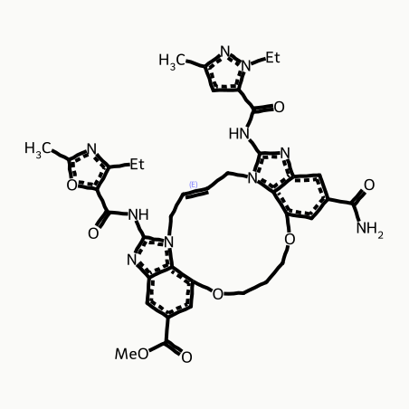 CCc1nc(C)oc1C(=O)Nc1nc2cc(C(=O)OC)cc3c2n1C/C=C/Cn1c(NC(=O)c2cc(C)nn2CC)nc2cc(C(N)=O)cc(c21)OCCCO3